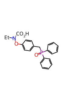 CCN(Oc1ccc(CP(=O)(c2ccccc2)c2ccccc2)cc1)C(=O)O